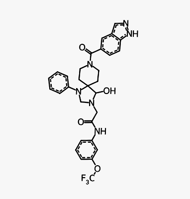 O=C(CN1CN(c2ccccc2)C2(CCN(C(=O)c3ccc4[nH]ncc4c3)CC2)C1O)Nc1cccc(OC(F)(F)F)c1